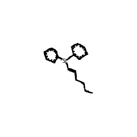 CCCC/C=C/[Si](c1ccccc1)c1ccccc1